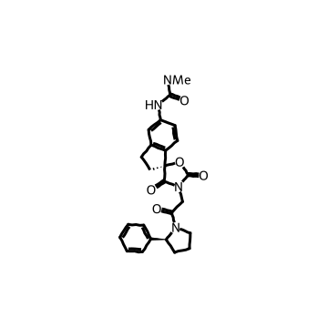 CNC(=O)Nc1ccc2c(c1)CC[C@@]21OC(=O)N(CC(=O)N2CCC[C@H]2c2ccccc2)C1=O